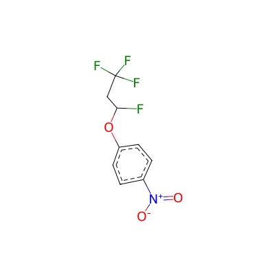 O=[N+]([O-])c1ccc(OC(F)CC(F)(F)F)cc1